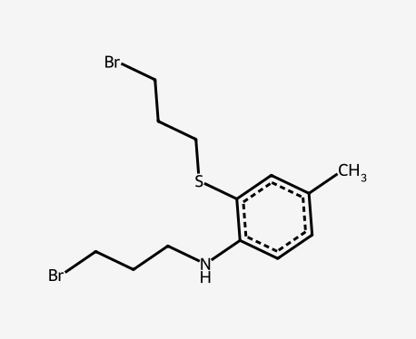 Cc1ccc(NCCCBr)c(SCCCBr)c1